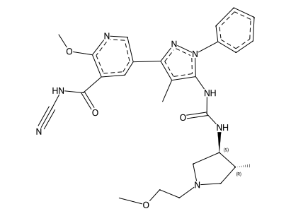 COCCN1C[C@@H](C)[C@H](NC(=O)Nc2c(C)c(-c3cnc(OC)c(C(=O)NC#N)c3)nn2-c2ccccc2)C1